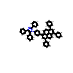 c1ccc(-c2nc(-c3ccccc3)n(-c3ccc(-c4cc(-c5ccccc5)c5ccc6c(-c7ccccc7)cc(-c7ccccc7)c7ccc4c5c67)cc3)c2-c2ccccc2)cc1